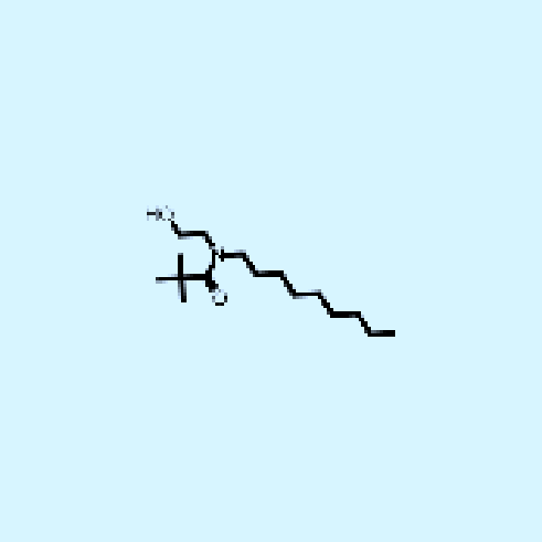 CCCCCCCCCN(CCO)C(=O)C(C)(C)C